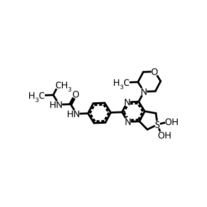 CC(C)NC(=O)Nc1ccc(-c2nc3c(c(N4CCOCC4C)n2)CS(O)(O)C3)cc1